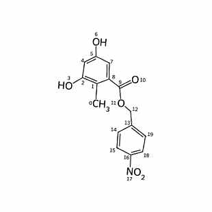 Cc1c(O)cc(O)cc1C(=O)OCc1ccc([N+](=O)[O-])cc1